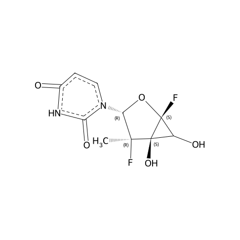 C[C@]1(F)[C@H](n2ccc(=O)[nH]c2=O)O[C@]2(F)C(O)[C@]12O